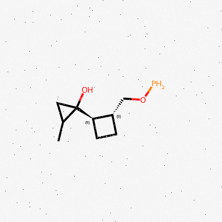 CC1CC1(O)[C@@H]1CC[C@H]1COP